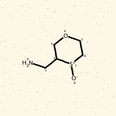 NCC1COCC[S+]1[O-]